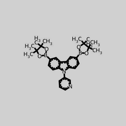 CC1(C)OB(c2ccc3c(c2)c2cc(B4OC(C)(C)C(C)(C)O4)ccc2n3-c2cccnc2)OC1(C)C